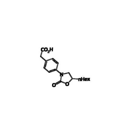 CCCCCCC1CN(c2ccc(CC(=O)O)cc2)C(=O)O1